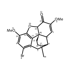 COC1=CC2C3Cc4c(Br)cc(OC)c5c4[C@]2(CCN3C)C(O5)C1=O